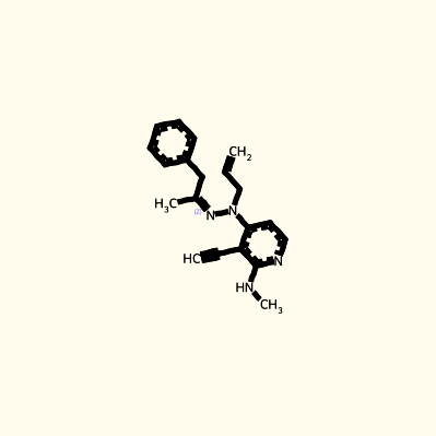 C#Cc1c(N(CC=C)/N=C(/C)Cc2ccccc2)ccnc1NC